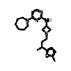 Cc1ccc(C(C)CCN2CC(Nc3nccc(N4CCCCCC4)n3)C2)o1